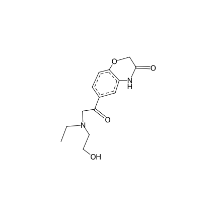 CCN(CCO)CC(=O)c1ccc2c(c1)NC(=O)CO2